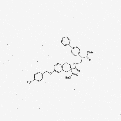 COC(=O)C(CNC(=O)[N+]1(C(=O)OCC(C)C)CCc2ccc(OCc3ccc(C(F)(F)F)cc3)cc2C1)c1ccc(-c2ccccc2)cc1